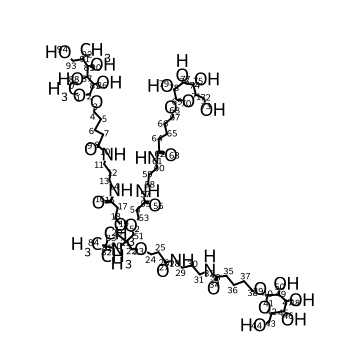 COC(OCCCCC(=O)NCCCNC(=O)CCOCC(COCCC(=O)NCCCNC(=O)CCCCOC1OC(CO)C(O)C(O)C1O)(COCCC(=O)NCCCNC(=O)CCCCOC1OC(CO)C(O)C(O)C1O)NC(C)(C)C)C(O)C(O)C(O)C(C)CO